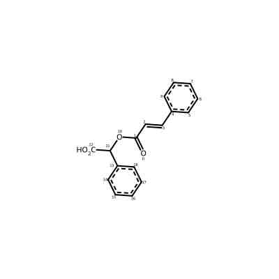 O=C(/C=C/c1ccccc1)OC(C(=O)O)c1ccccc1